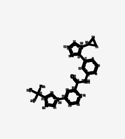 O=C(Nc1cccc(-c2nncn2C2CC2)c1)c1cc(-n2cnc(C(F)(F)F)c2)ccn1